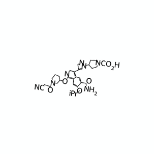 CC(C)Oc1cc2c(O[C@@H]3CCCN(C(=O)CC#N)C3)ncc(-c3cnn(C4CCN(C(=O)O)CC4)c3)c2cc1C(N)=O